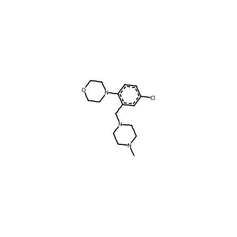 CN1CCN(Cc2cc(Cl)ccc2N2CCOCC2)CC1